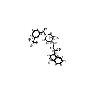 CC(c1cccc(C(F)(F)F)c1)N1CCC(CCC(=O)c2cn(C)c3ccccc23)CC1.Cl